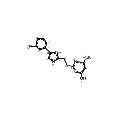 CC(C)(C)c1cc(O)nc(SCc2ncc(-c3cccc(Cl)c3)o2)n1